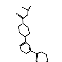 CN(C)CC(=O)N1CCC(C2=CC[CH]C(C3=CCCCC3)=C2)CC1